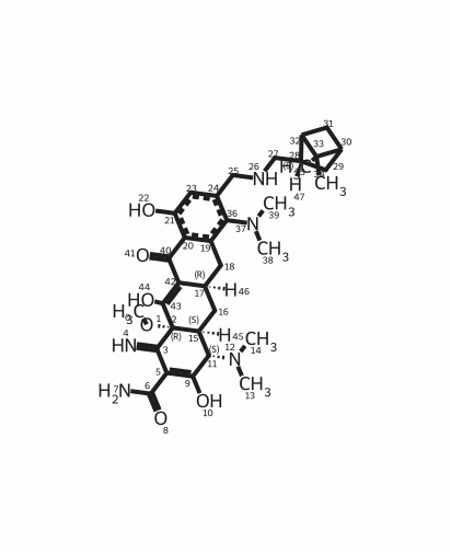 CO[C@@]12C(=N)C(C(N)=O)=C(O)[C@@H](N(C)C)[C@@H]1C[C@@H]1Cc3c(c(O)cc(CNC[C@H]4CC5CC4C5(C)C)c3N(C)C)C(=O)C1=C2O